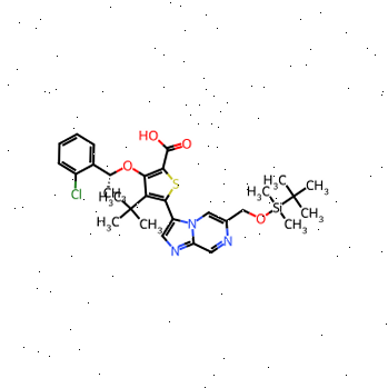 C[C@@H](Oc1c(C(=O)O)sc(-c2cnc3cnc(CO[Si](C)(C)C(C)(C)C)cn23)c1C(C)(C)C)c1ccccc1Cl